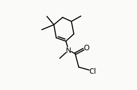 CC1CC(N(C)C(=O)CCl)=CC(C)(C)C1